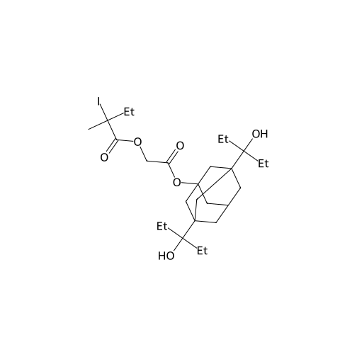 CCC(C)(I)C(=O)OCC(=O)OC12CC3CC(C(O)(CC)CC)(C1)CC(C(O)(CC)CC)(C3)C2